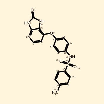 O=c1[nH]c2nccc(Oc3ccc(NS(=O)(=O)c4ccc(C(F)(F)F)cc4)cc3)c2[nH]1